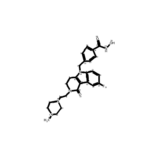 CN1CCN(CCN2CCc3c(c4cc(F)ccc4n3Cc3ccc(C(=O)NO)cc3)C2=O)CC1